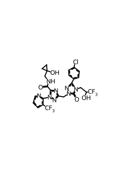 O=C(NCC1(O)CC1)c1nc(Cn2nc(-c3ccc(Cl)cc3)n(CC(O)C(F)(F)F)c2=O)nn1-c1ncccc1C(F)(F)F